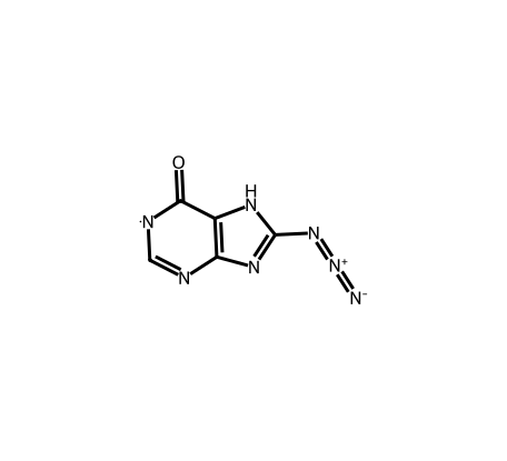 [N-]=[N+]=Nc1nc2c([nH]1)C(=O)[N]C=N2